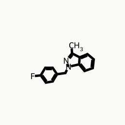 Cc1nn(Cc2ccc(F)cc2)c2ccccc12